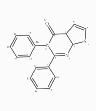 O=C1C2C=CSC2N=C(c2ccccc2)N1c1ccccc1